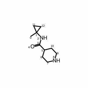 CC1(NC(=O)C2CCNCC2)CC1